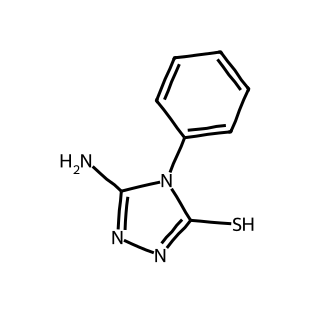 Nc1nnc(S)n1-c1ccccc1